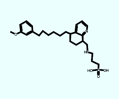 COc1cccc(CCCCCCC2CCC(CNCCCP(=O)(O)O)c3ncccc32)c1